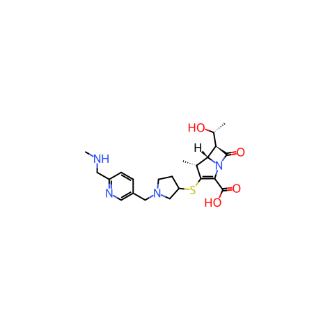 CNCc1ccc(CN2CCC(SC3=C(C(=O)O)N4C(=O)[C@H]([C@@H](C)O)[C@H]4[C@H]3C)C2)cn1